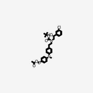 CC(=O)OOc1ccc(N(C)c2ccc(CCN(C[C@H](O)c3cccc(Cl)c3)C(=O)OC(C)(C)C)cc2)cc1